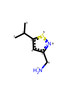 CC(C)c1cc(CN)ns1